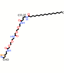 O=C[C@H](CCCCNC(=O)COCCOCCNC(=O)COCCOCCNC(=O)CC[C@H](NC(=O)CCCCCCCCCCCCCCCCC(=O)O)C(=O)O)NP